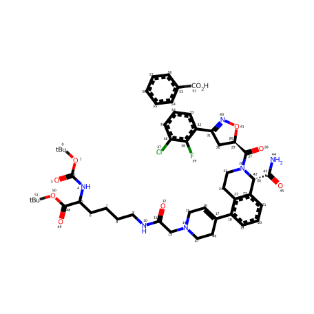 CC(C)(C)OC(=O)NC(CCCCNC(=O)CN1CC=C(c2cccc3c2CCN(C(=O)[C@H]2CC(c4cccc(Cl)c4F)=NO2)[C@@H]3C(N)=O)CC1)C(=O)OC(C)(C)C.O=C(O)c1ccccc1